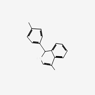 Cc1ccc(C2NC=C(C(=O)O)c3ccccc32)cc1